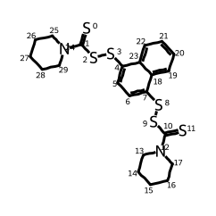 S=C(SSc1ccc(SSC(=S)N2CCCCC2)c2ccccc12)N1CCCCC1